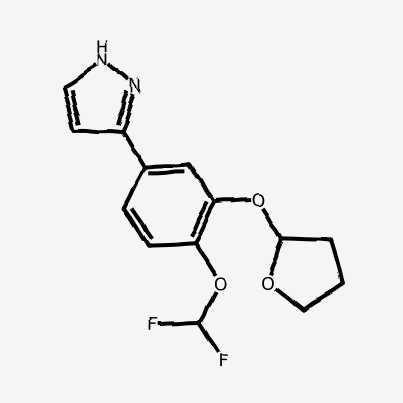 FC(F)Oc1ccc(-c2cc[nH]n2)cc1OC1CCCO1